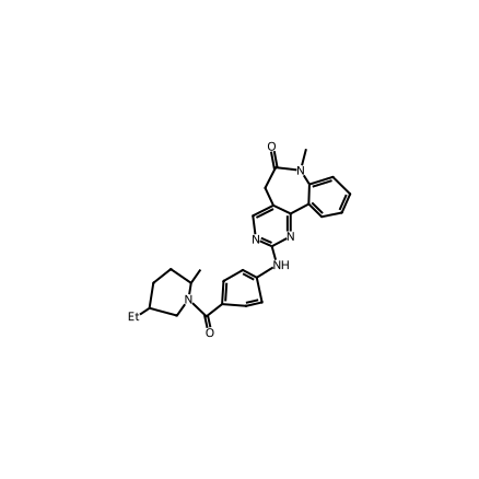 CCC1CCC(C)N(C(=O)c2ccc(Nc3ncc4c(n3)-c3ccccc3N(C)C(=O)C4)cc2)C1